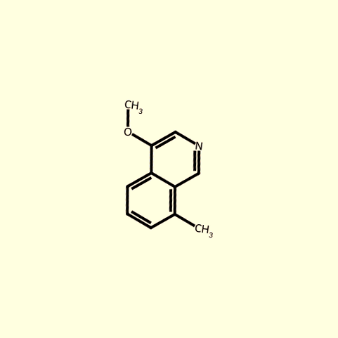 COc1cncc2c(C)cccc12